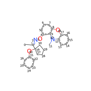 CC(=NOc1cccc2c1N(C)c1ccccc1O2)C1(Oc2ccccc2)CCCC1